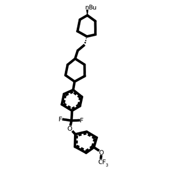 CCCC[C@H]1CC[C@H](CCC2CCC(c3ccc(C(F)(F)Oc4ccc(OC(F)(F)F)cc4)cc3)CC2)CC1